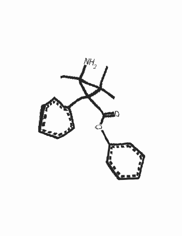 CC1(C)C(C)(N)C1(C(=O)Oc1ccccc1)c1ccccc1